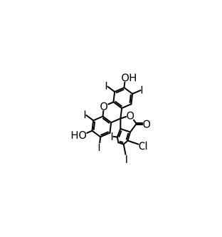 O=C1OC2(c3cc(I)c(O)c(I)c3Oc3c2cc(I)c(O)c3I)c2c(I)cc(I)c(Cl)c21